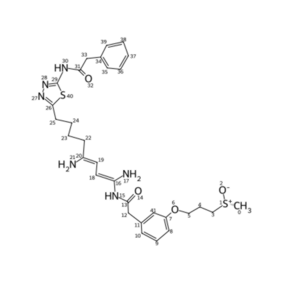 C[S@@+]([O-])CCCOc1cccc(CC(=O)N/C(N)=C/C=C(\N)CCCCc2nnc(NC(=O)Cc3ccccc3)s2)c1